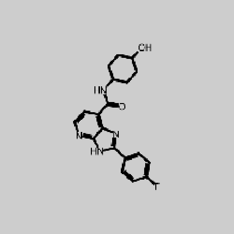 O=C(NC1CCC(O)CC1)c1ccnc2[nH]c(-c3ccc(F)cc3)nc12